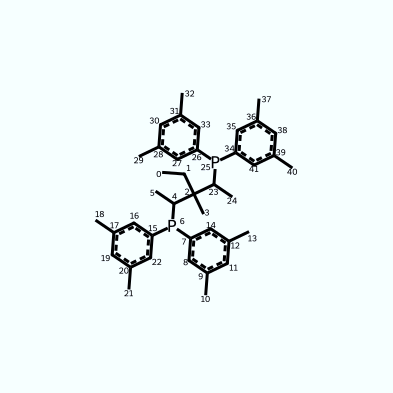 CCC(C)(C(C)P(c1cc(C)cc(C)c1)c1cc(C)cc(C)c1)C(C)P(c1cc(C)cc(C)c1)c1cc(C)cc(C)c1